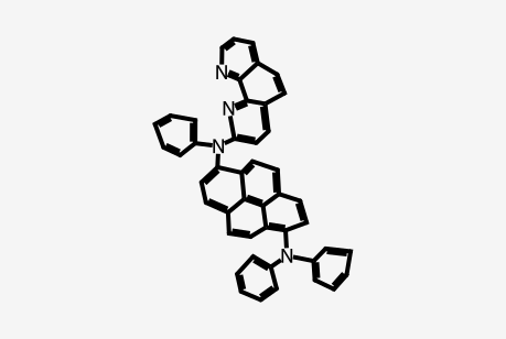 c1ccc(N(c2ccccc2)c2ccc3ccc4c(N(c5ccccc5)c5ccc6ccc7cccnc7c6n5)ccc5ccc2c3c54)cc1